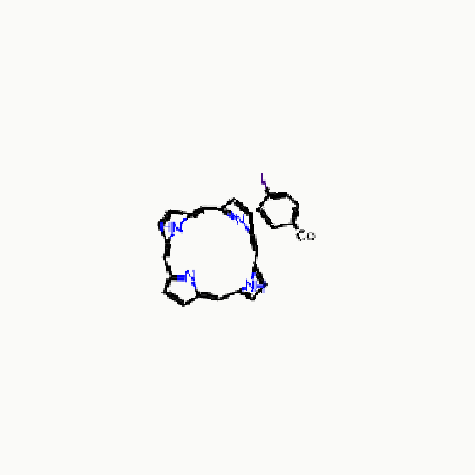 C1=Cc2cc3ccc(cc4nc(cc5ccc(cc1n2)[nH]5)C=C4)[nH]3.[Co][c]1ccc(I)cc1